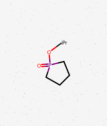 CC(C)OP1(=O)CCCC1